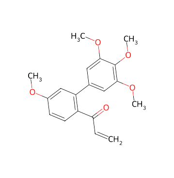 C=CC(=O)c1ccc(OC)cc1-c1cc(OC)c(OC)c(OC)c1